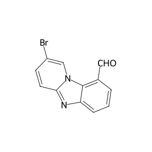 O=Cc1cccc2nc3ccc(Br)cn3c12